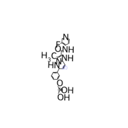 Cc1nc(/C=C\C(=N)c2cccc(OC[C@H](O)CO)c2)[nH]c1C(=O)Nc1ccncc1F